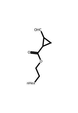 CCCCCCCCOC(=O)C1CC1C=O